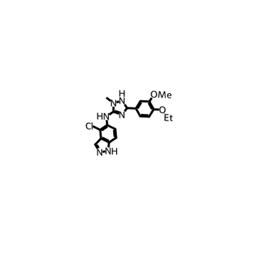 CCOc1ccc(C2N=C(Nc3ccc4[nH]ncc4c3Cl)N(C)N2)cc1OC